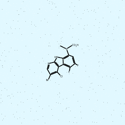 CN(C(=O)O)c1cc(F)c(F)c2c1[nH]c1ncc(Br)c(Cl)c12